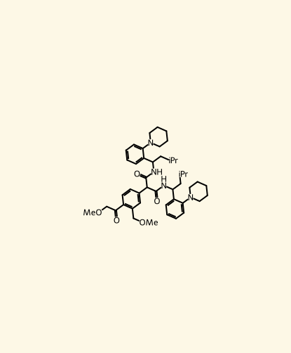 COCC(=O)c1ccc(C(C(=O)NC(CC(C)C)c2ccccc2N2CCCCC2)C(=O)NC(CC(C)C)c2ccccc2N2CCCCC2)cc1COC